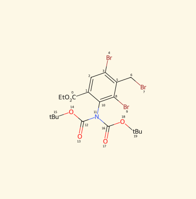 CCOC(=O)c1cc(Br)c(CBr)c(Br)c1N(C(=O)OC(C)(C)C)C(=O)OC(C)(C)C